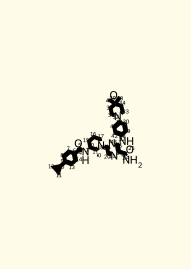 C[C@@H]1[C@H](NC(=O)c2ccc(C3CC3)cc2)CCCN1c1cnc(C(N)=O)c(Nc2ccc(N3CCC4(CC3)COC4)cc2)n1